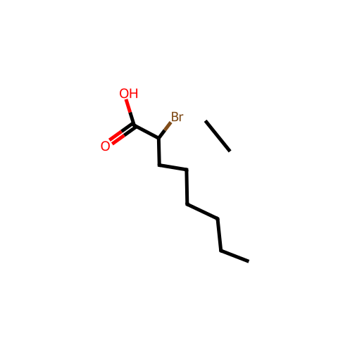 CC.CCCCCCC(Br)C(=O)O